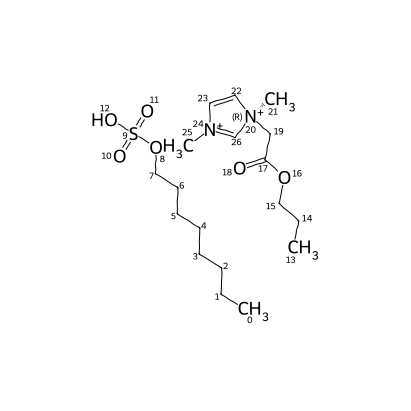 CCCCCCCCOS(=O)(=O)O.CCCOC(=O)C[N@+]1(C)C=C[N+](C)=C1